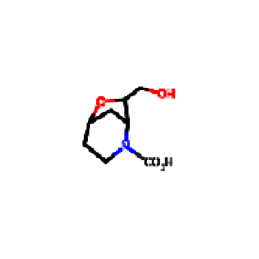 O=C(O)N1CCC2CC1C(CO)O2